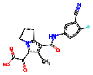 Cc1c(C(=O)Nc2ccc(F)c(C#N)c2)c2n(c1C(=O)C(=O)O)CCC2